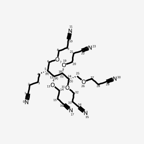 N#CCCC[C@H](COCCC#N)[C@@H](OCCC#N)[C@H](OCCC#N)[C@H](COCCC#N)OCCC#N